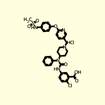 CS(=O)(=O)Nc1ccc(Oc2ccc(CN3CCC(N(C(=O)Nc4ccc(Cl)c(C(=O)O)c4)c4ccccc4)CC3)cn2)cc1.Cl